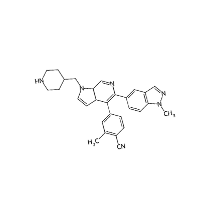 Cc1cc(C2=C(c3ccc4c(cnn4C)c3)N=CC3C2C=CN3CC2CCNCC2)ccc1C#N